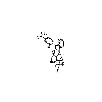 O=C(O)c1ccc(-c2cn(C(=O)c3c(Cl)cccc3C3(C(F)(F)F)CC3)c3cccnc23)c(F)c1